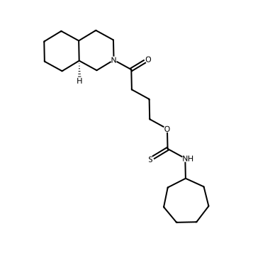 O=C(CCCOC(=S)NC1CCCCCC1)N1CCC2CCCC[C@@H]2C1